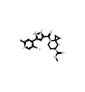 COC(=O)[C@H]1CCN(C(=O)c2cc(-c3cc(C)ncc3F)[nH]n2)C2(CC2)C1